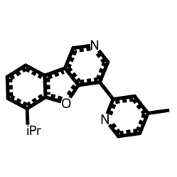 Cc1ccnc(-c2cncc3c2oc2c(C(C)C)cccc23)c1